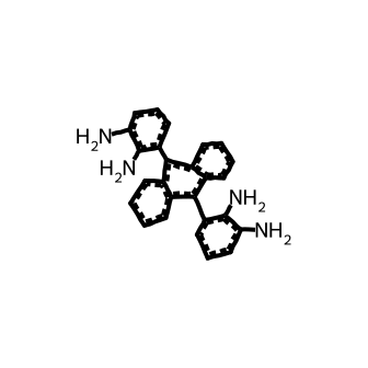 Nc1cccc(-c2c3ccccc3c(-c3cccc(N)c3N)c3ccccc23)c1N